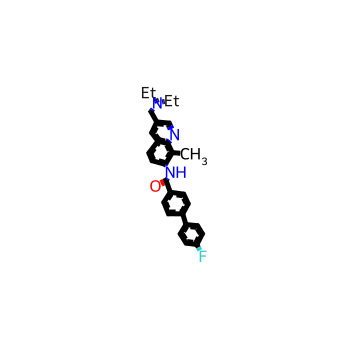 CCN(CC)Cc1cnc2c(C)c(NC(=O)c3ccc(-c4ccc(F)cc4)cc3)ccc2c1